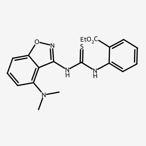 CCOC(=O)c1ccccc1NC(=S)Nc1noc2cccc(N(C)C)c12